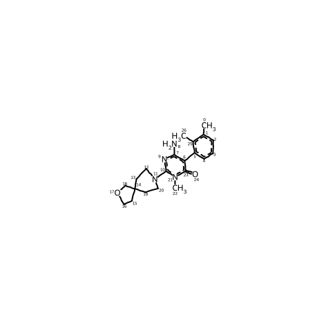 Cc1cccc(-c2c(N)nc(N3CCC4(CCOC4)CC3)n(C)c2=O)c1C